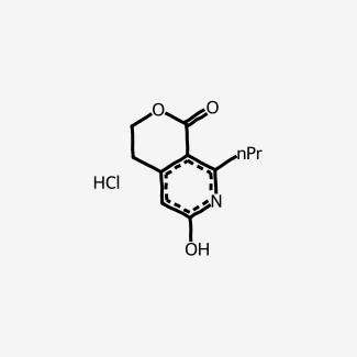 CCCc1nc(O)cc2c1C(=O)OCC2.Cl